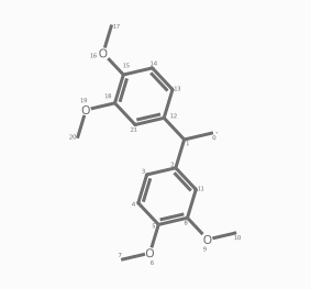 [CH2]C(c1ccc(OC)c(OC)c1)c1ccc(OC)c(OC)c1